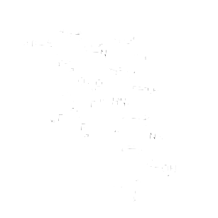 O=C(Nc1ccc(C(O)C2CC2)nc1)c1cccn(-c2ccc(F)cc2OCC(F)(F)F)c1=O